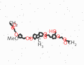 C=CC(=O)OCCCOc1ccc(C=CC(=O)Oc2ccc3c(c2)C(C)c2cc(OCOC=Cc4ccc(OCCCOC(=O)C=C)c(OC)c4)ccc2-3)cc1CO